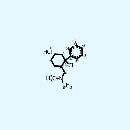 CN(C)CC1CCCCC1(Cl)c1cccnc1.Cl